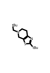 CC(C)(C)CN1CCc2nc(C(C)(C)C)sc2C1